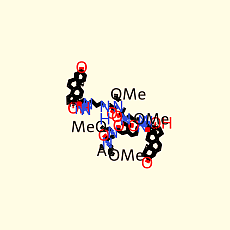 COCCN(CC(C)=O)C(=O)CN(CCOC)C(=O)CC(CCCn1cc([C@]2(O)CCC3C4CCC5=CC(=O)CC[C@]5(C)C4CC[C@@]32C)nn1)C(=O)CN(CCOC)C(=O)CN(CCOC)C(=O)CNCCCn1cc([C@]2(O)CCC3C4CCC5=CC(=O)CC[C@]5(C)C4CC[C@@]32C)nn1